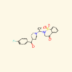 CCC(N1CCC(C(=O)c2ccc(F)cc2)CC1)N1CC(=O)c2ccccc2S1(=O)=O